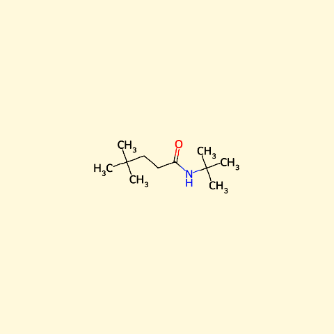 CC(C)(C)CCC(=O)NC(C)(C)C